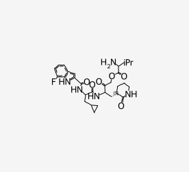 CC(C)C(N)C(=O)OCC(=O)C(C[C@@H]1CCCNC1=O)NC(=O)C(CC1CC1)NC(=O)c1cc2cccc(F)c2[nH]1